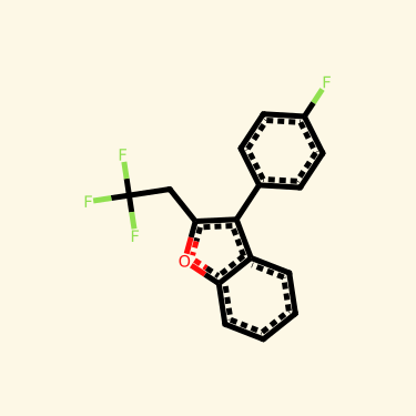 Fc1ccc(-c2c(CC(F)(F)F)oc3ccccc23)cc1